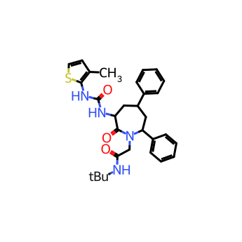 Cc1ccsc1NC(=O)NC1CC(c2ccccc2)CC(c2ccccc2)N(CC(=O)NC(C)(C)C)C1=O